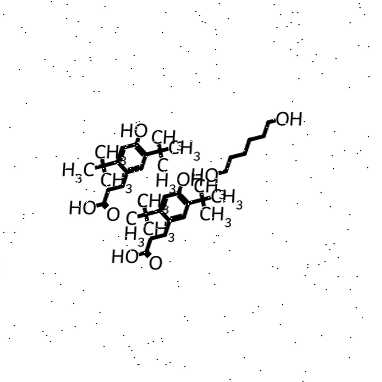 CC(C)(C)c1cc(CCC(=O)O)c(C(C)(C)C)cc1O.CC(C)(C)c1cc(CCC(=O)O)c(C(C)(C)C)cc1O.OCCCCCCO